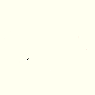 CC(=O)OCC[C@H](C)C/C=C(/CC=C(C)C)C(C)C